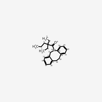 CCCC(CC)(CC)C(=O)N1Cc2ccccc2CCc2ccccc21